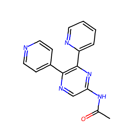 CC(=O)Nc1cnc(-c2ccncc2)c(-c2ccccn2)n1